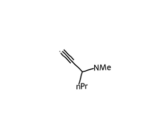 [C]#CC(CCC)NC